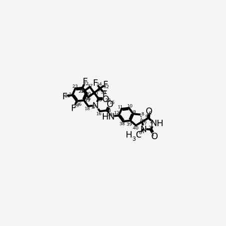 CN1C(=O)NC(=O)[C@@]12Cc1ccc(NC(=O)CN(Cc3cc(F)cc(F)c3F)C(=O)C3(C(F)(F)F)CCC3)cc1C2